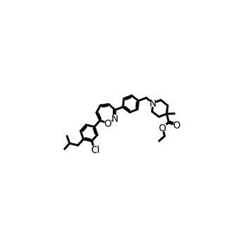 CCOC(=O)C1(C)CCN(Cc2ccc(C3=NOC(c4ccc(CC(C)C)c(Cl)c4)=CC=C3)cc2)CC1